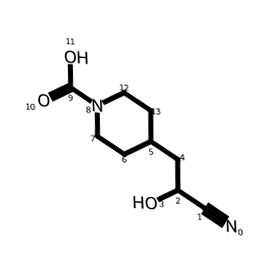 N#CC(O)CC1CCN(C(=O)O)CC1